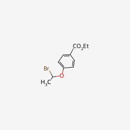 CCOC(=O)c1ccc(OC(C)Br)cc1